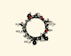 CCCC[C@H]1C(=O)N(C)[C@@H](CCCC)C(=O)N[C@@H](CCC(=O)O)C(=O)N[C@H](C(=O)NCC(N)=O)CNCC(=O)N[C@@H](Cc2ccc(F)cc2)C(=O)N(C)[C@@H](C)C(=O)N[C@@H](CC(N)=O)C(=O)N2CCC[C@H]2C(=O)N[C@@H](CCC(N)=O)C(=O)N[C@@H](CCC(=O)O)C(=O)N2C[C@H](O)C[C@H]2C(=O)N[C@@H](Cc2c[nH]c3ccccc23)C(=O)N[C@@H](CC(N)=O)C(=O)N[C@@H](Cc2cn(CC(=O)O)c3ccccc23)C(=O)N1C